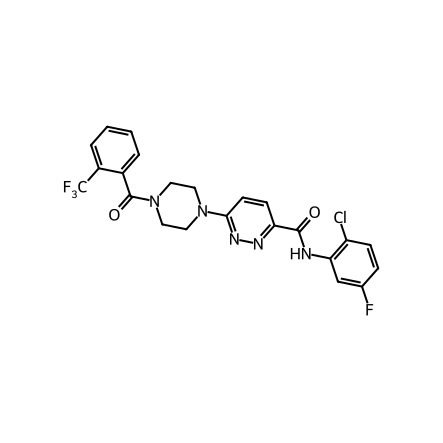 O=C(Nc1cc(F)ccc1Cl)c1ccc(N2CCN(C(=O)c3ccccc3C(F)(F)F)CC2)nn1